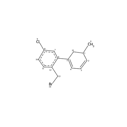 CC1C=CC=C(c2cc(Cl)ccc2CBr)C1